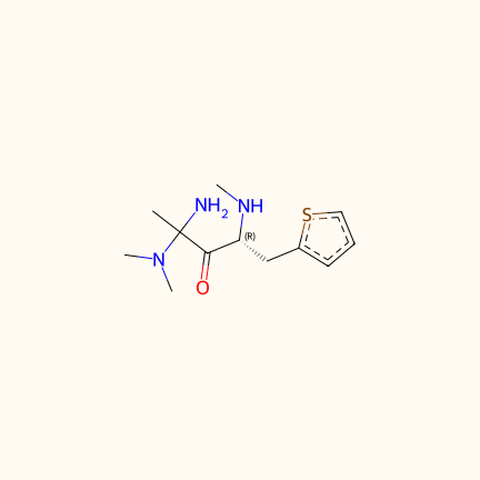 CN[C@H](Cc1cccs1)C(=O)C(C)(N)N(C)C